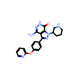 Nc1n[nH]c(=O)c2c1c(-c1ccc(Oc3ccccn3)cc1)nn2C1CCCNC1